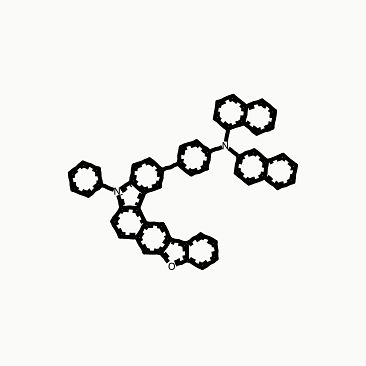 c1ccc(-n2c3ccc(-c4ccc(N(c5ccc6ccccc6c5)c5cccc6ccccc56)cc4)cc3c3c4cc5c(cc4ccc32)oc2ccccc25)cc1